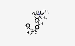 C=C1/C(=C\C=C/C)N(C)C(=O)Cc2cnc(Nc3ccc(C(=O)N(C)CCc4ccccn4)cc3)nc21